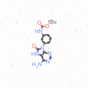 CC(C)(C)OC(=O)Nc1cccc(-n2c(=O)[nH]c3c(N)ncnc32)c1